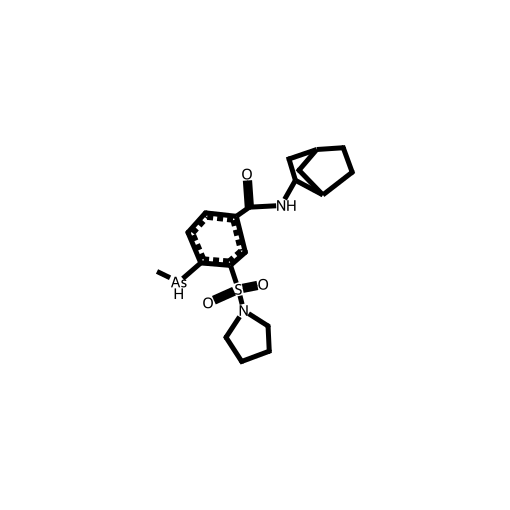 C[AsH]c1ccc(C(=O)NC2CC3CCC2C3)cc1S(=O)(=O)N1CCCC1